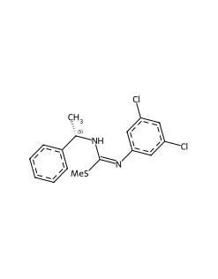 CSC(=Nc1cc(Cl)cc(Cl)c1)N[C@@H](C)c1ccccc1